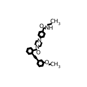 CCCNC(=O)c1ccc(N2CCN(C(=O)c3ccccc3C#Cc3cccc(OCC)c3)CC2)cc1